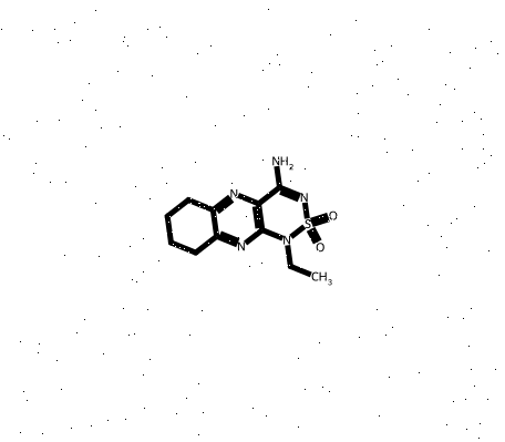 CCN1c2nc3c(nc2C(N)=NS1(=O)=O)CCCC3